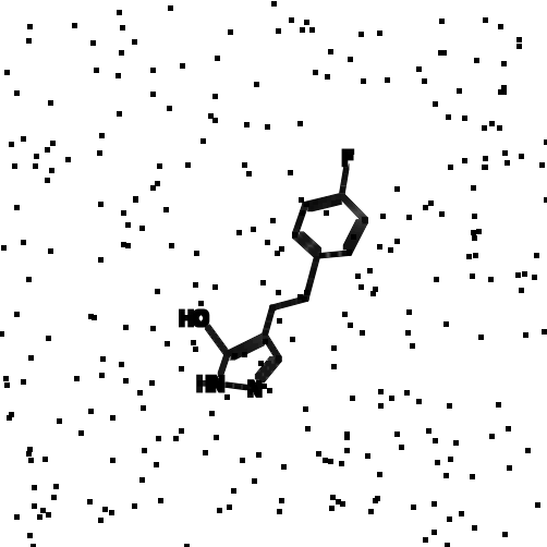 Oc1[nH]ncc1CCc1ccc(F)cc1